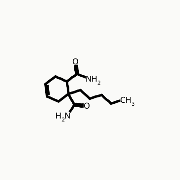 CCCCCC1(C(N)=O)CC=CCC1C(N)=O